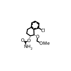 COCO[C@H]1c2c(Cl)cccc2CC[C@H]1OC(N)=O